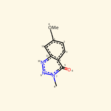 COc1ccc2c(=O)n(C)nnc2c1